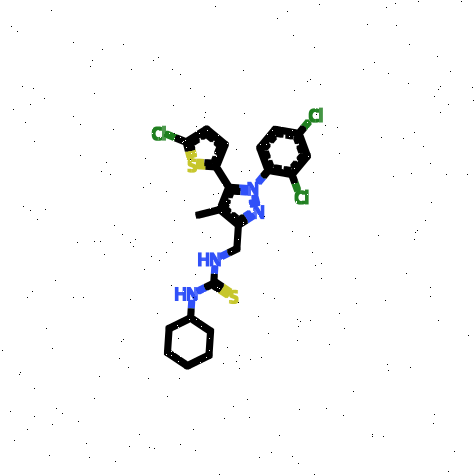 Cc1c(CNC(=S)NC2CCCCC2)nn(-c2ccc(Cl)cc2Cl)c1-c1ccc(Cl)s1